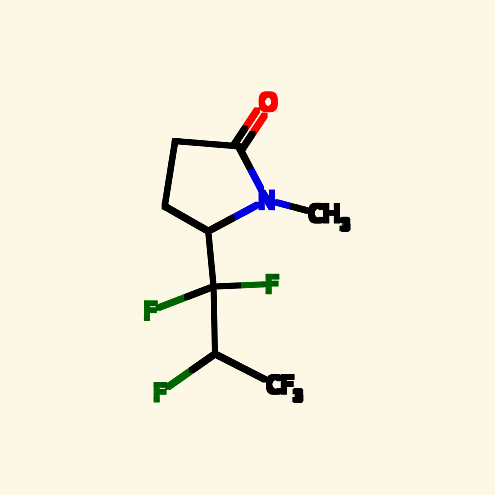 CN1C(=O)CCC1C(F)(F)C(F)C(F)(F)F